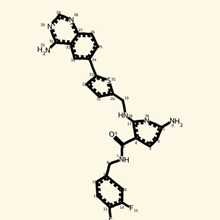 Nc1ccc(C(=O)NCc2ccc(F)c(F)c2)c(NCc2ccc(-c3ccc4ncnc(N)c4c3)s2)n1